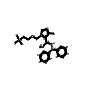 Cc1ncn(COCC[Si](C)(C)C)c1C(O[SiH](c1ccccc1)c1ccccc1)C(C)(C)C